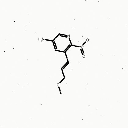 COCC=Cc1cc(N)cnc1[N+](=O)[O-]